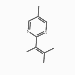 CC(C)=C(C)c1ncc(C)cn1